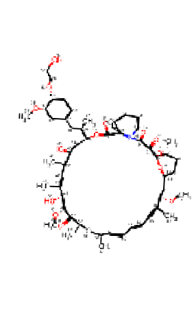 CO[C@H]1C[C@@H]2CC[C@@H](C)[C@@](O)(O2)C(=O)C(=O)N2CCCC[C@H]2C(=O)O[C@H]([C@H](C)C[C@@H]2CC[C@@H](OCCO)[C@H](OC)C2)CC(O)[C@H](C)/C=C(\C)[C@@H](O)[C@@H](OC)C(=O)[C@H](C)C[C@H](C)/C=C/C=C/C=C/1C